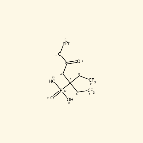 CCCOC(=O)CC(CC(F)(F)F)(CC(F)(F)F)P(=O)(O)O